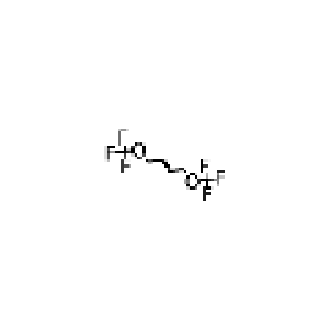 FC(F)(F)OC/C=C/COC(F)(F)F